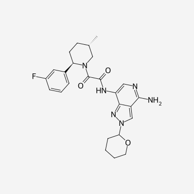 C[C@H]1CC[C@H](c2cccc(F)c2)N(C(=O)C(=O)Nc2cnc(N)c3cn(C4CCCCO4)nc23)C1